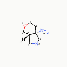 N[C@@]12CCOC[C@H]1C[N]C2